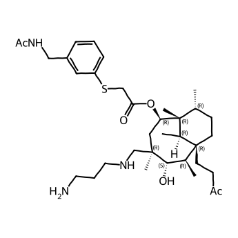 CC(=O)CC[C@]12CC[C@@H](C)[C@](C)([C@@H]1C)[C@H](OC(=O)CSc1cccc(CNC(C)=O)c1)C[C@](C)(CNCCCN)[C@@H](O)[C@@H]2C